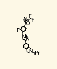 CC(C)N1CCc2ccc(-c3cn(Cc4ccc(-c5nnc(C(F)F)o5)cc4F)nn3)cc2C1